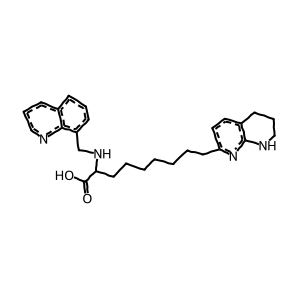 O=C(O)C(CCCCCCCc1ccc2c(n1)NCCC2)NCc1cccc2cccnc12